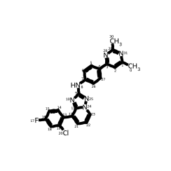 Cc1cc(-c2ccc(Nc3nc4c(-c5ccc(F)cc5Cl)cccn4n3)cc2)nc(C)n1